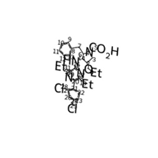 CCO[C@H]1CN(C(=O)O)C(Cc2ccccc2)[C@H]1Nc1nc(CC)c(-c2ccc(Cl)cc2Cl)nc1CC